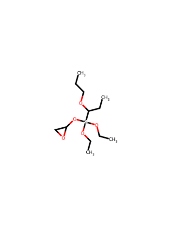 CCCOC(CC)[Si](OCC)(OCC)OC1CO1